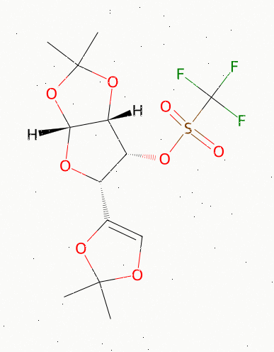 CC1(C)OC=C([C@@H]2O[C@@H]3OC(C)(C)O[C@@H]3[C@@H]2OS(=O)(=O)C(F)(F)F)O1